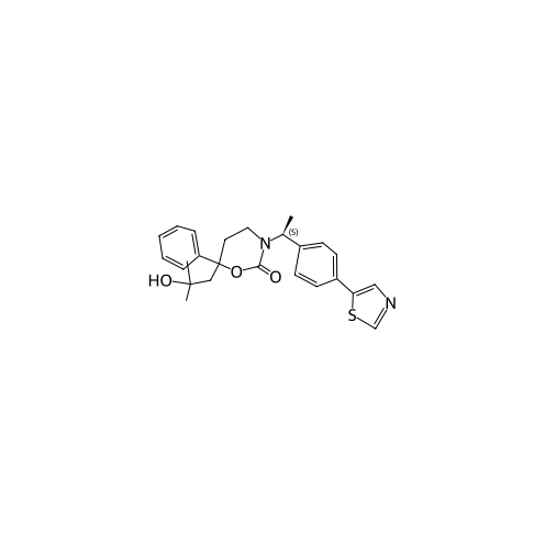 C[C@@H](c1ccc(-c2cncs2)cc1)N1CCC(CC(C)(C)O)(c2ccccc2)OC1=O